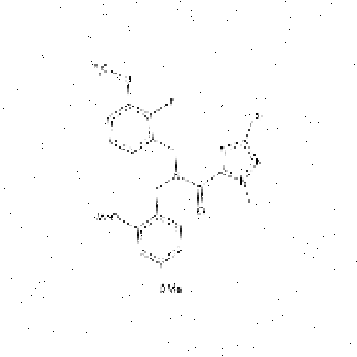 COc1ccc(CN(Cc2cccc(OC(F)(F)F)c2F)C(=O)c2cc(C(C)C)nn2C)c(OC)c1